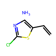 C=Cc1cnc(Cl)s1.N